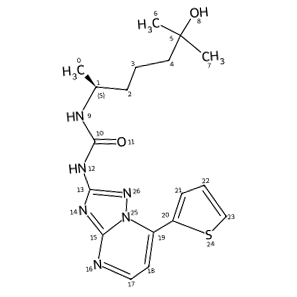 C[C@@H](CCCC(C)(C)O)NC(=O)Nc1nc2nccc(-c3cccs3)n2n1